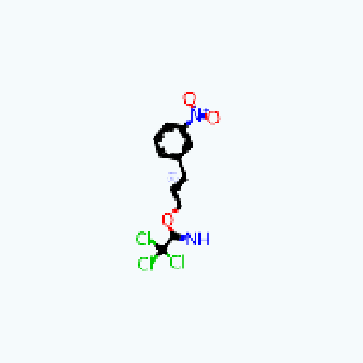 N=C(OC/C=C/c1cccc([N+](=O)[O-])c1)C(Cl)(Cl)Cl